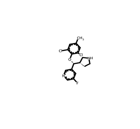 Cc1cc(Cl)c(O[C@@H](c2cncc(F)c2)[C@H]2CCNC2)c(Cl)c1